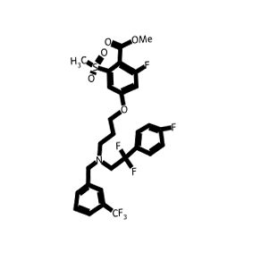 COC(=O)c1c(F)cc(OCCCN(Cc2cccc(C(F)(F)F)c2)CC(F)(F)c2ccc(F)cc2)cc1S(C)(=O)=O